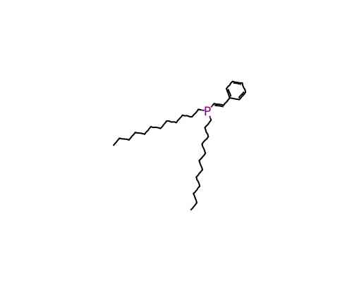 CCCCCCCCCCCCP(C=Cc1ccccc1)CCCCCCCCCCCC